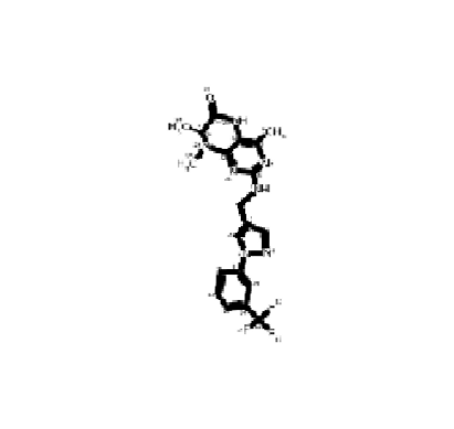 Cc1nc(NCc2cnn(-c3cccc(C(F)(F)F)c3)c2)nc2c1NC(=O)[C@H](C)N2C